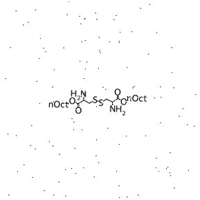 CCCCCCCCOC(=O)[C@@H](N)CSSC[C@H](N)C(=O)OCCCCCCCC